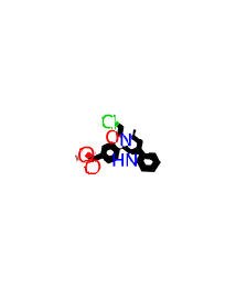 COC(=O)c1ccc([C@H]2c3[nH]c4ccccc4c3C[C@H](C)N2C(=O)CCl)cc1